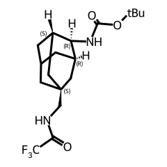 CC(C)(C)OC(=O)N[C@H]1[C@@H]2CC3C[C@H]1C[C@@](CNC(=O)C(F)(F)F)(C3)C2